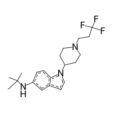 CC(C)(C)Nc1ccc2c(ccn2C2CCN(CCC(F)(F)F)CC2)c1